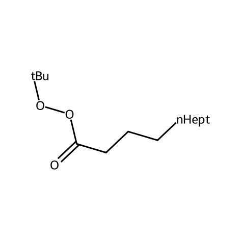 CCCCCCCCCCC(=O)OOC(C)(C)C